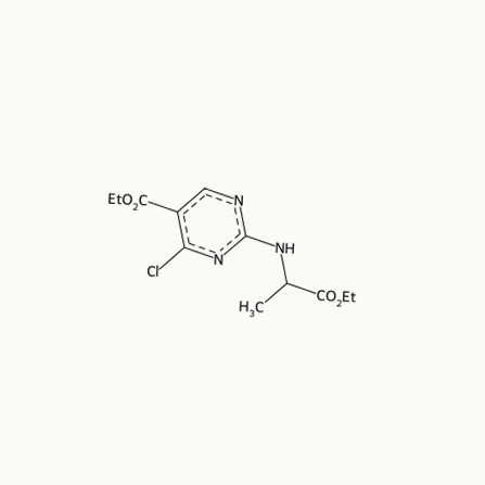 CCOC(=O)c1cnc(NC(C)C(=O)OCC)nc1Cl